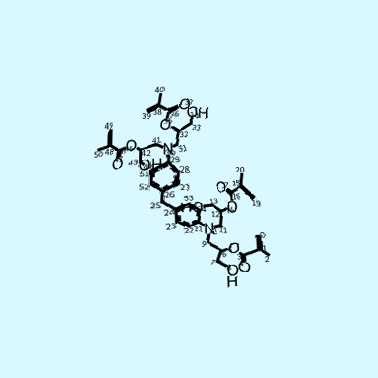 C=C(C)C(=O)OC(CO)CN(CC(CO)OC(=O)C(=C)C)c1ccc(Cc2ccc(N(CC(CO)OC(=O)C(=C)C)CC(CO)OC(=O)C(=C)C)cc2)cc1